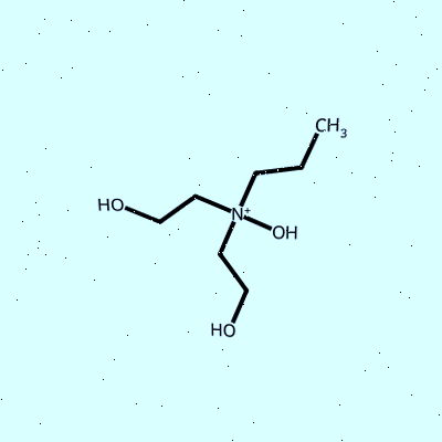 CCC[N+](O)(CCO)CCO